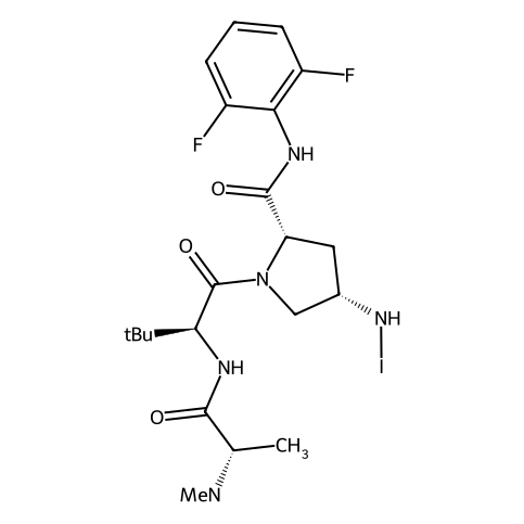 CN[C@@H](C)C(=O)N[C@H](C(=O)N1C[C@@H](NI)C[C@H]1C(=O)Nc1c(F)cccc1F)C(C)(C)C